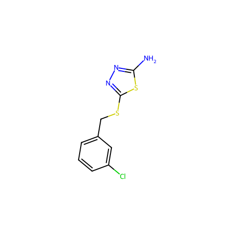 Nc1nnc(SCc2cccc(Cl)c2)s1